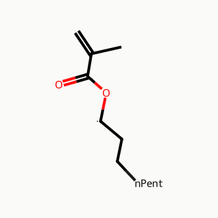 [CH2]CCCCCC[CH]OC(=O)C(=C)C